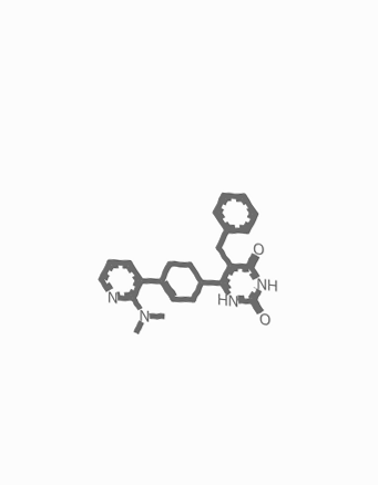 CN(C)c1ncccc1C1=CCC(c2[nH]c(=O)[nH]c(=O)c2Cc2ccccc2)CC1